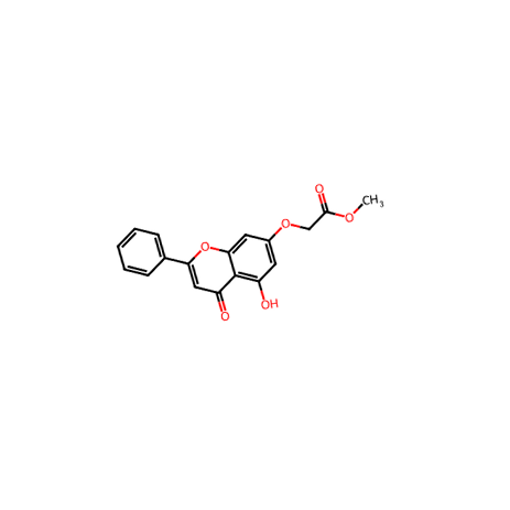 COC(=O)COc1cc(O)c2c(=O)cc(-c3ccccc3)oc2c1